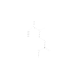 C=CN(C)N(C)CNC(=C)NC